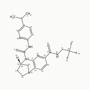 CC(C)c1ccc(NC(=O)N2c3nc(C(=O)NCC(F)(F)F)ccc3N3CC[C@H]2C3)nc1